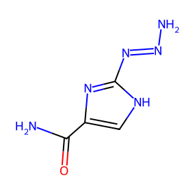 NN=Nc1nc(C(N)=O)c[nH]1